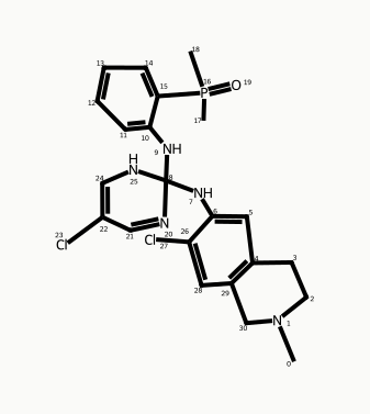 CN1CCc2cc(NC3(Nc4ccccc4P(C)(C)=O)N=CC(Cl)=CN3)c(Cl)cc2C1